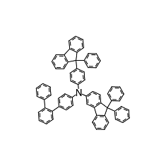 c1ccc(-c2ccccc2-c2ccc(N(c3ccc(C4(c5ccccc5)c5ccccc5-c5ccccc54)cc3)c3ccc4c(c3)-c3ccccc3C4(c3ccccc3)c3ccccc3)cc2)cc1